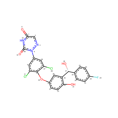 O=c1cnn(-c2cc(Cl)c(Oc3ccc(O)c([C@H](O)c4ccc(F)cc4)c3)c(Cl)c2)c(=O)[nH]1